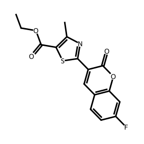 CCOC(=O)c1sc(-c2cc3ccc(F)cc3oc2=O)nc1C